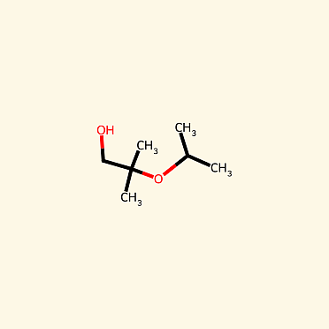 CC(C)OC(C)(C)CO